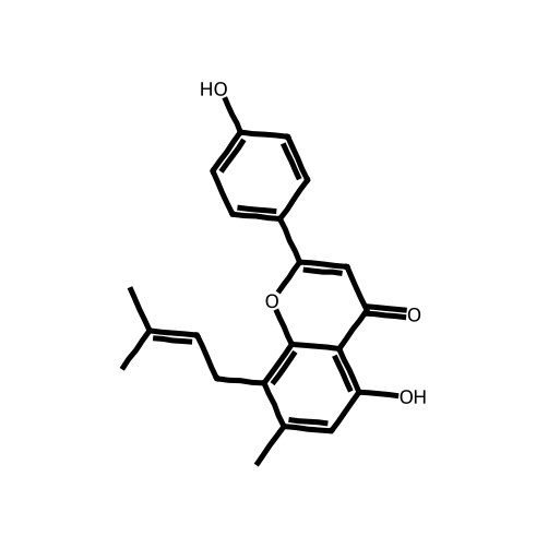 CC(C)=CCc1c(C)cc(O)c2c(=O)cc(-c3ccc(O)cc3)oc12